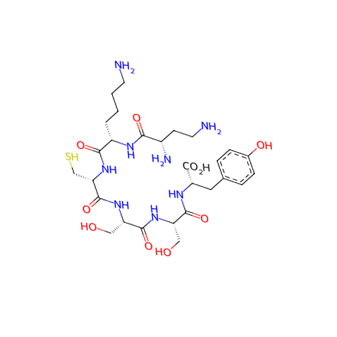 NCCCC[C@H](NC(=O)[C@@H](N)CCN)C(=O)N[C@@H](CS)C(=O)N[C@@H](CO)C(=O)N[C@@H](CO)C(=O)N[C@@H](Cc1ccc(O)cc1)C(=O)O